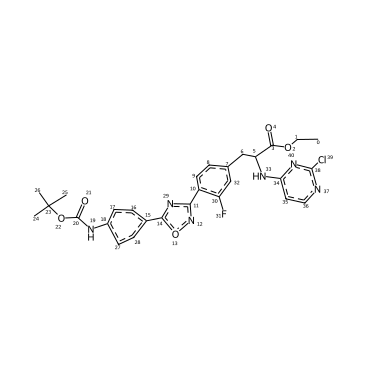 CCOC(=O)C(Cc1ccc(-c2noc(-c3ccc(NC(=O)OC(C)(C)C)cc3)n2)c(F)c1)Nc1ccnc(Cl)n1